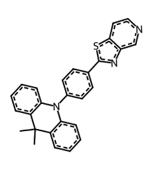 CC1(C)c2ccccc2N(c2ccc(-c3nc4cnccc4s3)cc2)c2ccccc21